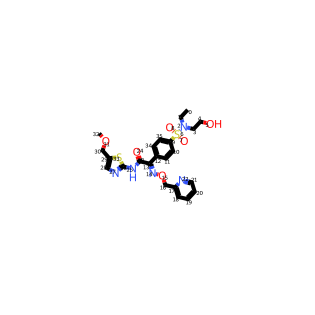 CCN(CCO)S(=O)(=O)c1ccc(/C(=N\OCc2ccccn2)C(=O)Nc2ncc(COC)s2)cc1